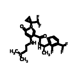 C[C@@H](NC(=O)c1cn(C2(C(F)F)CC2)c(=O)cc1NCCN(C)C)c1cccc(C(F)F)c1F